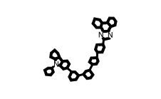 c1ccc(-n2c3ccccc3c3ccc(-c4cccc(-c5cccc(-c6ccc(-c7ccc(-c8cnc9c%10ccccc%10c%10ccccc%10c9n8)cc7)cc6)c5)c4)cc32)cc1